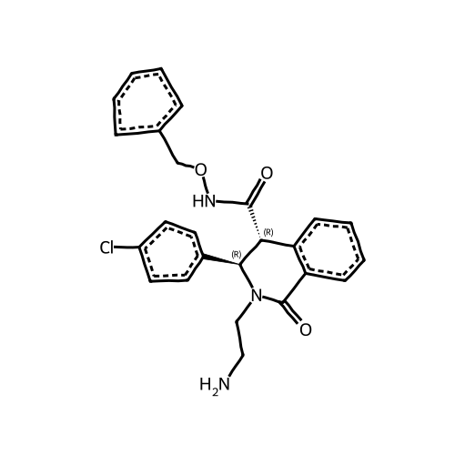 NCCN1C(=O)c2ccccc2[C@@H](C(=O)NOCc2ccccc2)[C@@H]1c1ccc(Cl)cc1